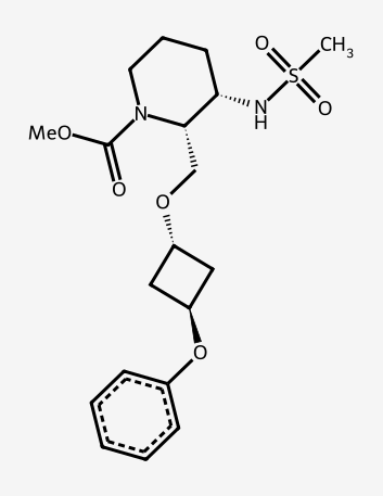 COC(=O)N1CCC[C@H](NS(C)(=O)=O)[C@@H]1CO[C@H]1C[C@H](Oc2ccccc2)C1